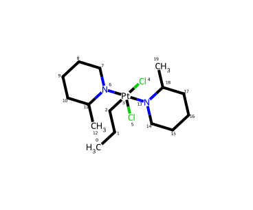 CC[CH2][Pt]([Cl])([Cl])([N]1CCCCC1C)[N]1CCCCC1C